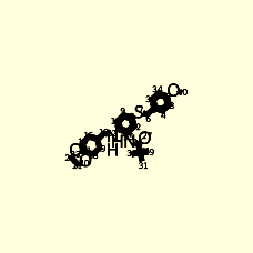 COc1ccc(CSc2ccc(NCC3CCC4(CC3)OCCO4)c(NC(=O)C(C)(C)C)c2)cc1